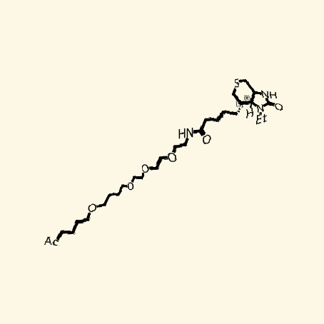 CCN1C(=O)NC2CSC[C@@H](CCCCC(=O)NCCOCCOCCOCCCCOCCCCC(C)=O)[C@H]21